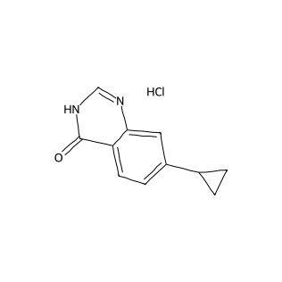 Cl.O=c1[nH]cnc2cc(C3CC3)ccc12